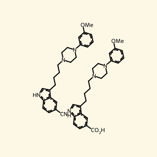 COc1cccc(N2CCN(CCCCc3c[nH]c4ccc(C#N)cc34)CC2)c1.COc1cccc(N2CCN(CCCCc3c[nH]c4ccc(C(=O)O)cc34)CC2)c1